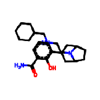 NC(=O)c1cccc(C2CC3CCC(C2)N3CCNCC2CCCCC2)c1O